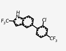 FC(F)(F)c1ccc(-c2ccc3[nH]c(C(F)(F)F)cc3c2)c(Cl)c1